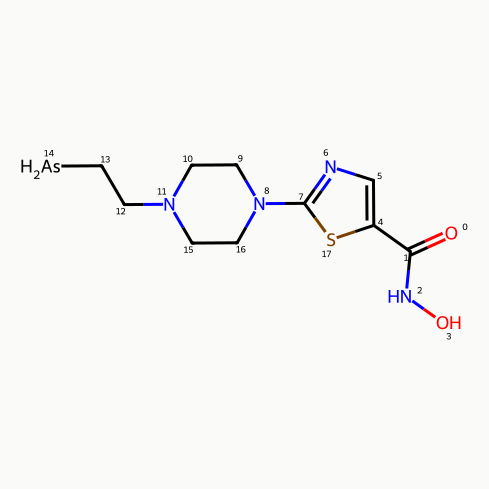 O=C(NO)c1cnc(N2CCN(CC[AsH2])CC2)s1